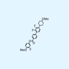 COc1ccc(OC(=O)c2ccc(-c3ccc(C4CCC(OC)CC4)c(F)c3F)cc2)cc1F